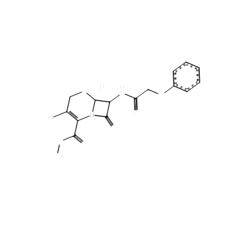 CC(C)(C)OC(=O)C1=C(Cl)CS[C@H]2C(NC(=O)COc3ccccc3)C(=O)N12